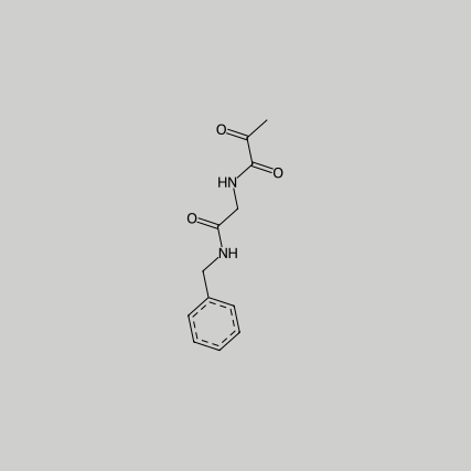 CC(=O)C(=O)NCC(=O)NCc1ccccc1